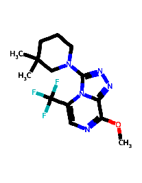 COc1ncc(C(F)(F)F)n2c(N3CCCC(C)(C)C3)nnc12